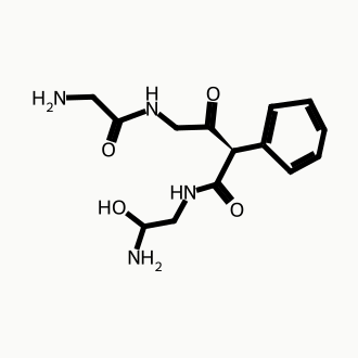 NCC(=O)NCC(=O)[C@H](C(=O)NCC(N)O)c1ccccc1